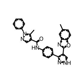 Cc1ccc2oc(-c3c[nH]nc3-c3ccc(NC(=O)c4cnn(-c5ccccc5)c4C)cc3)nc2c1